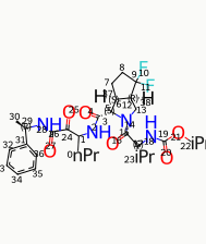 CCCC(NC(=O)[C@@H]1[C@H]2CCC(F)(F)[C@H]2CN1C(=O)[C@@H](NC(=O)OC(C)C)C(C)C)C(=O)C(=O)N[C@H](C)c1ccccc1